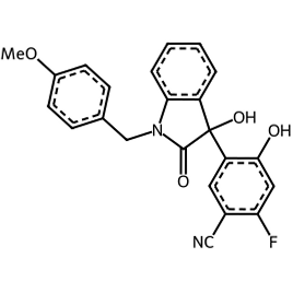 COc1ccc(CN2C(=O)C(O)(c3cc(C#N)c(F)cc3O)c3ccccc32)cc1